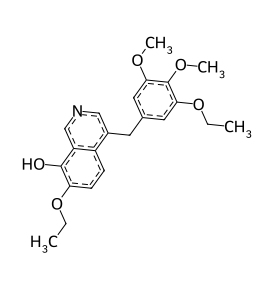 CCOc1cc(Cc2cncc3c(O)c(OCC)ccc23)cc(OC)c1OC